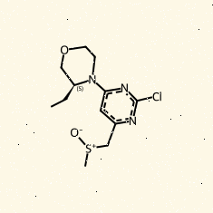 CC[C@H]1COCCN1c1cc(C[S+](C)[O-])nc(Cl)n1